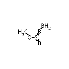 B#S(=BB)OC